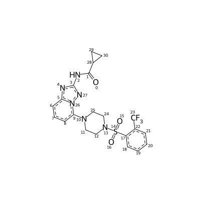 O=C(Nc1nc2cccc(N3CCN(S(=O)(=O)c4ccccc4C(F)(F)F)CC3)n2n1)C1CC1